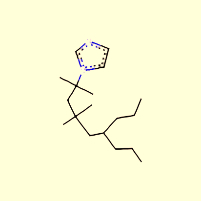 CCCC(CCC)CC(C)(C)CC(C)(C)n1ccnc1